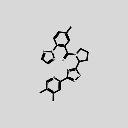 Cc1ccc(-n2nccn2)c(C(=O)N2CCCC2c2nc(-c3cc(C)c(C)cn3)no2)c1